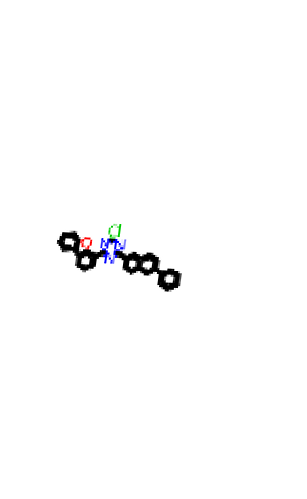 Clc1nc(-c2ccc3cc(-c4ccccc4)ccc3c2)nc(-c2cccc3c2oc2ccccc23)n1